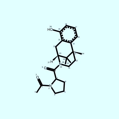 CC(=O)N1CCCC1C(=O)N1CC[C@@]2(C)c3cccc(O)c3C[C@@H]1C2(C)C